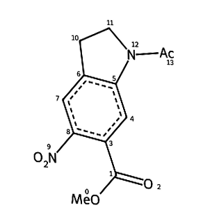 COC(=O)c1cc2c(cc1[N+](=O)[O-])CCN2C(C)=O